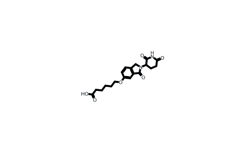 O=C(O)CCCCCOc1ccc2c(c1)C(=O)N(C1CCC(=O)NC1=O)C2